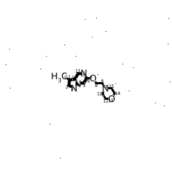 Cc1cnn2cc(OCCN3CCOCC3)ncc12